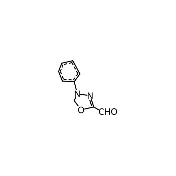 O=CC1=NN(c2ccccc2)CO1